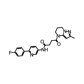 Cc1cc2n(n1)CCCN2C(=O)CCC(=O)Nc1ccc(-c2ccc(F)cc2)nc1